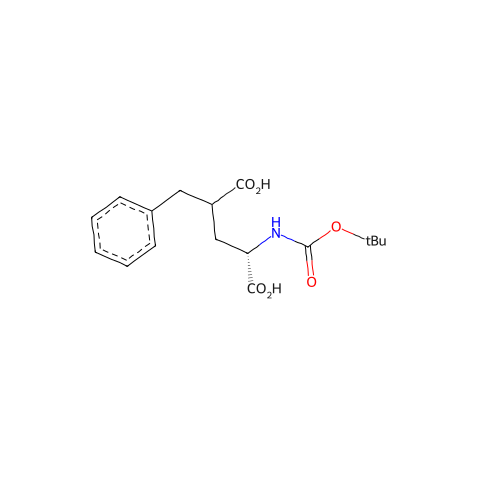 CC(C)(C)OC(=O)N[C@@H](CC(Cc1ccccc1)C(=O)O)C(=O)O